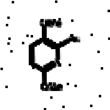 COc1ccc(OC)c(C(C)=O)n1